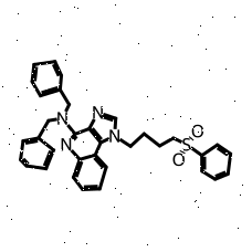 O=S(=O)(CCCCn1cnc2c(N(Cc3ccccc3)Cc3ccccc3)nc3ccccc3c21)c1ccccc1